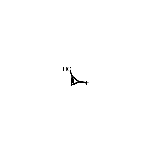 OC1=CC1F